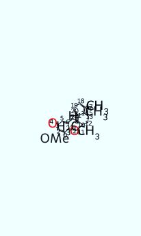 COC1=CC(=O)C=C(C[C@]2(C)[C@@H](C)CC[C@]3(C)C(C)=CCC[C@@H]23)C1=O